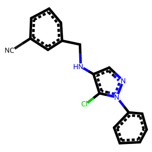 N#Cc1cccc(CNc2cnn(-c3ccccc3)c2Cl)c1